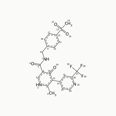 Cc1[nH]cc(C(=O)NCc2ccc(S(C)(=O)=O)cc2)c(=O)c1-c1ccnc(C(F)(F)F)c1